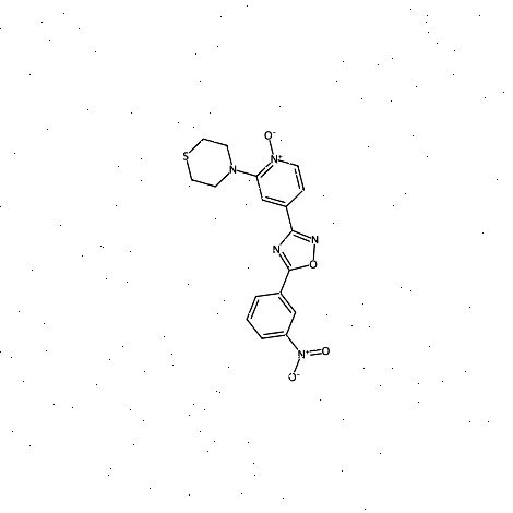 O=[N+]([O-])c1cccc(-c2nc(-c3cc[n+]([O-])c(N4CCSCC4)c3)no2)c1